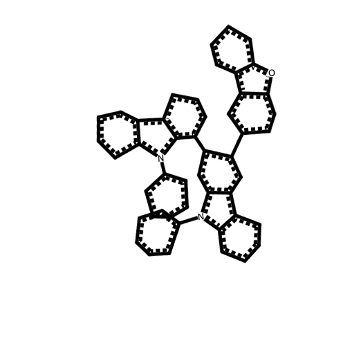 c1ccc(-n2c3ccccc3c3cc(-c4ccc5oc6ccccc6c5c4)c(-c4cccc5c6ccccc6n(-c6ccccc6)c45)cc32)cc1